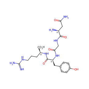 N=C(N)NCCC[C@H](NC(=O)[C@H](Cc1ccc(O)cc1)NC(=O)CNC(=O)[C@@H](N)CC(N)=O)C(=O)O